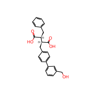 O=C(O)[C@@H](Cc1ccccc1)[C@H](Cc1ccc(-c2cccc(CO)c2)cc1)C(=O)O